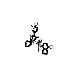 Cc1c(-c2ccc(=O)n(C)c2)nn(-c2ccccc2)c1NC(=O)Nc1ccc(Cl)c2ccccc12